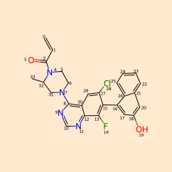 C=CC(=O)N1CCN(c2ncnc3c(F)c(-c4cc(O)cc5ccccc45)c(Cl)cc23)CC1C